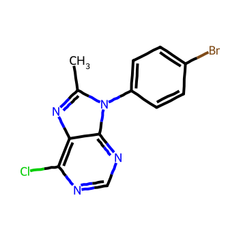 Cc1nc2c(Cl)ncnc2n1-c1ccc(Br)cc1